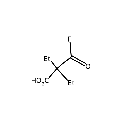 CCC(CC)(C(=O)O)C(=O)F